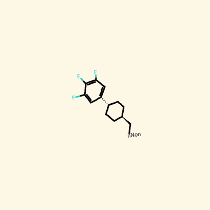 CCCCCCCCCC[C@H]1CC[C@H](c2cc(F)c(F)c(F)c2)CC1